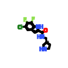 O=C(NC[C@H]1CCNC1)c1cc2cc(Cl)c(F)c(F)c2[nH]1